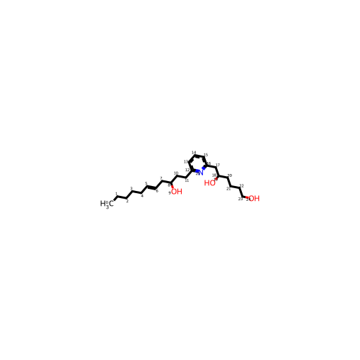 CCCCCC=CCC(O)CCc1cccc(CC(O)CCCCO)n1